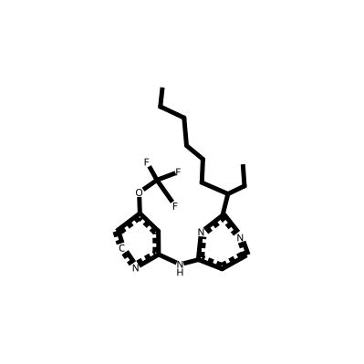 CCCCCCC(CC)c1nccc(Nc2cc(OC(F)(F)F)ccn2)n1